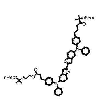 CCCCCCCC(C)(C)OCCOC(=O)CCc1ccc(N(c2ccccc2)c2ccc3sc(-c4cc5cc(N(c6ccccc6)c6ccc(CCCC(=O)C(C)(C)CCCCC)cc6)ccc5s4)cc3c2)cc1